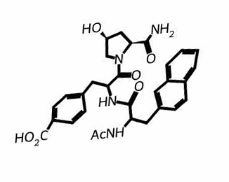 CC(=O)NC(Cc1ccc2ccccc2c1)C(=O)NC(Cc1ccc(C(=O)O)cc1)C(=O)N1C[C@@H](O)C[C@H]1C(N)=O